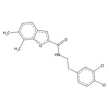 Cc1ccc2cc(C(=O)NCCc3ccc(Cl)c(Cl)c3)oc2c1C